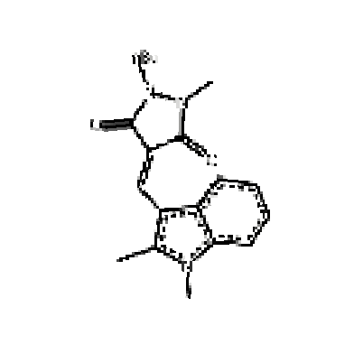 CCCCN1C(=O)/C(=C/c2c(C)n(C)c3ccccc23)C(=O)N1C